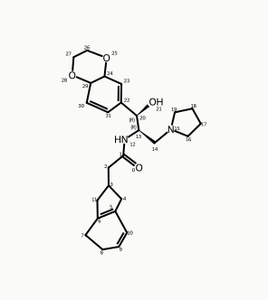 O=C(CC1CC2=C(CCC=C2)C1)N[C@H](CN1CCCC1)[C@H](O)C1=CC2OCCOC2C=C1